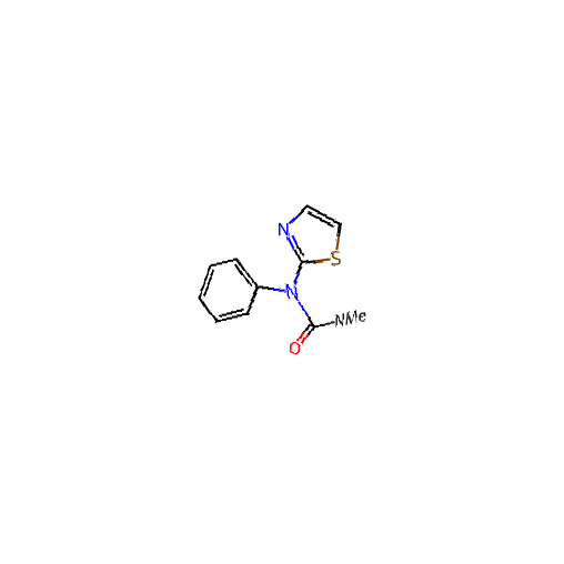 CNC(=O)N(c1ccccc1)c1nccs1